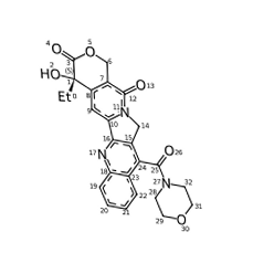 CC[C@@]1(O)C(=O)OCc2c1cc1n(c2=O)Cc2c-1nc1ccccc1c2C(=O)N1CCOCC1